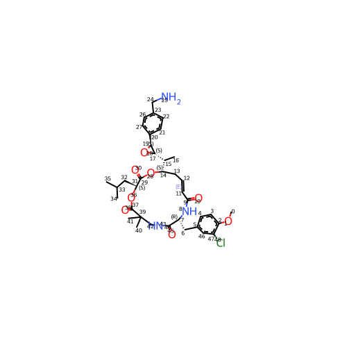 COc1ccc(C[C@H]2NC(=O)/C=C/C[C@@H](C(C)[C@@H]3O[C@H]3c3ccc(CN)cc3)OC(=O)[C@H](CC(C)C)OC(=O)C(C)(C)CNC2=O)cc1Cl